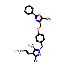 Cc1nn(Cc2ccc(OCc3nc(-c4ccccc4)oc3C)cc2)c(C)c1C=CC(=O)O